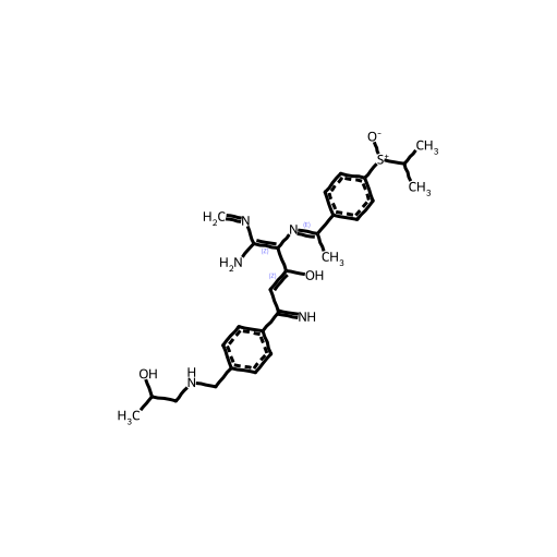 C=N/C(N)=C(\N=C(/C)c1ccc([S+]([O-])C(C)C)cc1)C(/O)=C/C(=N)c1ccc(CNCC(C)O)cc1